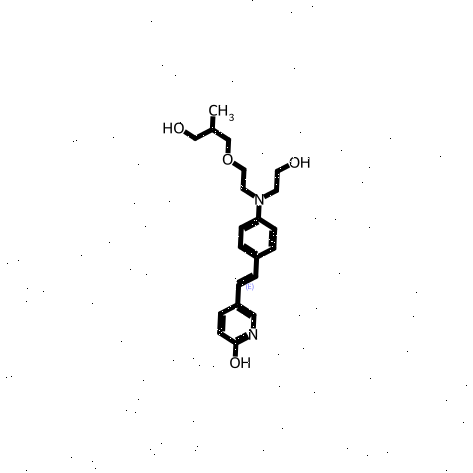 CC(CO)COCCN(CCO)c1ccc(/C=C/c2ccc(O)nc2)cc1